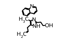 C=CCc1[nH]c(CCO)nc1C.c1ccc2ncccc2c1